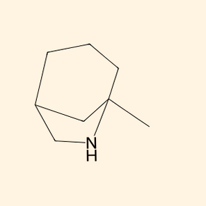 CC12CCCC(CN1)C2